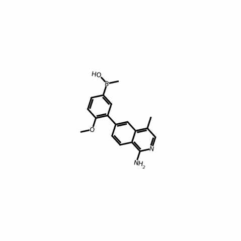 COc1ccc(B(C)O)cc1-c1ccc2c(N)ncc(C)c2c1